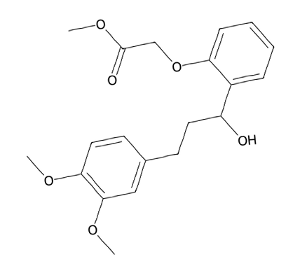 COC(=O)COc1ccccc1C(O)CCc1ccc(OC)c(OC)c1